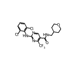 O=C(NCC1CCOCC1)c1cnc(Nc2c(Cl)cccc2Cl)nc1C(F)(F)F